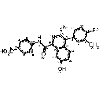 Cc1cc(-c2c(C(C)C)nc(C(=O)Nc3ccc(C(=O)O)cn3)c3cc(O)ccc23)ccc1F